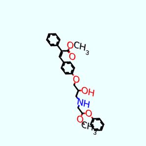 COC(=O)C(=Cc1ccc(OCC(O)CNCC(OC)Oc2ccccc2)cc1)c1ccccc1